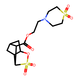 O=C(OCCN1CCS(=O)(=O)CC1)C1C2CC3OS(=O)(=O)C1C3C2